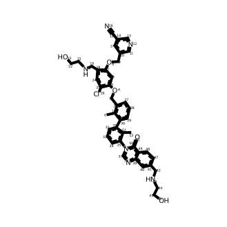 Cc1c(COc2cc(OCc3cncc(C#N)c3)c(CNCCO)cc2Cl)cccc1-c1cccc(-n2cnc3cc(CNCCO)ccc3c2=O)c1C